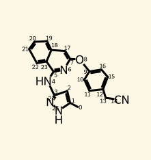 Cc1cc(Nc2nc(Oc3ccc(CC#N)cc3)cc3ccccc23)n[nH]1